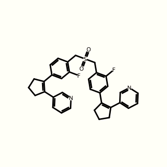 O=S(=O)(Cc1ccc(C2=C(c3cccnc3)CCC2)cc1F)Cc1ccc(C2=C(c3cccnc3)CCC2)cc1F